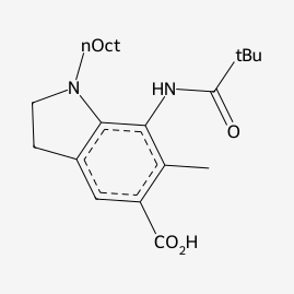 CCCCCCCCN1CCc2cc(C(=O)O)c(C)c(NC(=O)C(C)(C)C)c21